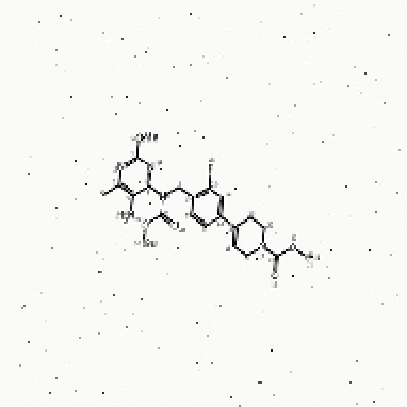 COc1nc(C)c(N)c(N(Cc2ccc(C3=CCN(C(=O)OC(C)(C)C)CC3)cc2F)C(=O)OC(C)(C)C)n1